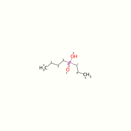 CCCCP(=O)(O)CCC